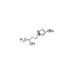 C[C@H](O)CCn1cc(C(C)(C)C)cn1